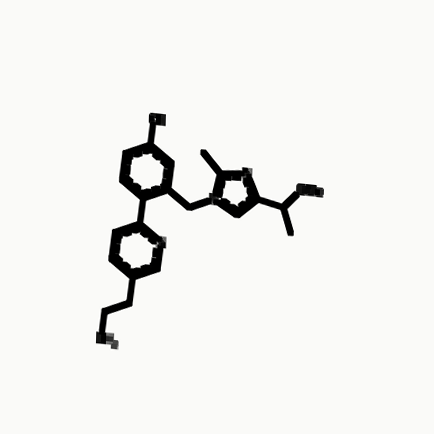 COC(C)c1cn(Cc2cc(C#N)ccc2-c2ccc(CCN)cn2)c(C)n1